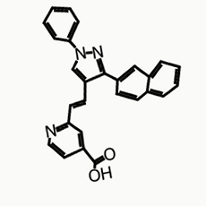 O=C(O)c1ccnc(C=Cc2cn(-c3ccccc3)nc2-c2ccc3ccccc3c2)c1